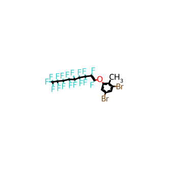 Cc1c(Br)cc(Br)cc1OC(F)=C(F)C(F)(F)C(F)(F)C(F)(F)C(F)(F)C(F)(F)C(F)(F)C(F)(F)F